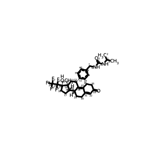 CC(C)NC(=O)NCc1ccc([C@H]2C[C@@]3(C)[C@@H](CC[C@@]3(O)C(F)(F)C(F)(F)F)[C@@H]3CCC4=CC(=O)CCC4=C32)cc1